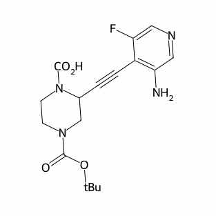 CC(C)(C)OC(=O)N1CCN(C(=O)O)C(C#Cc2c(N)cncc2F)C1